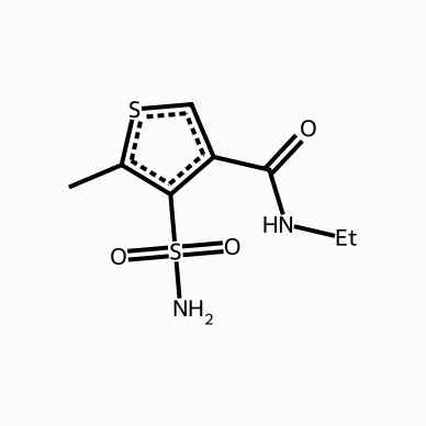 CCNC(=O)c1csc(C)c1S(N)(=O)=O